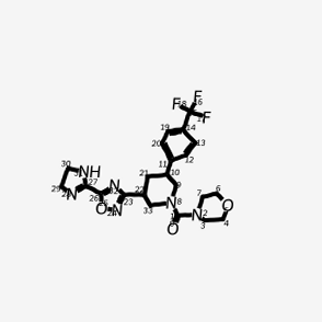 O=C(N1CCOCC1)N1CC(c2ccc(C(F)(F)F)cc2)CC(c2noc(C3=NCCN3)n2)C1